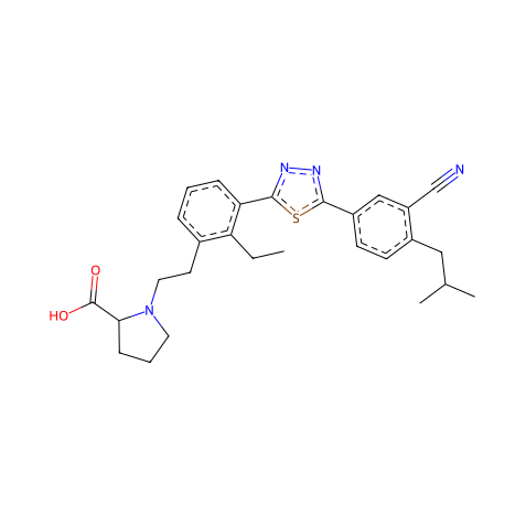 CCc1c(CCN2CCCC2C(=O)O)cccc1-c1nnc(-c2ccc(CC(C)C)c(C#N)c2)s1